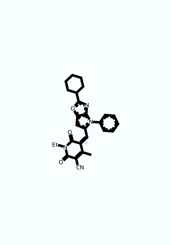 CCN1C(=O)C(C#N)=C(C)/C(=C/c2cc3oc(C4CCCCC4)nc3n2-c2ccccc2)C1=O